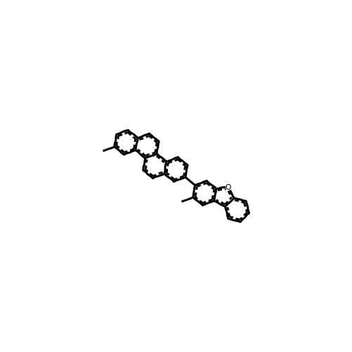 Cc1ccc2ccc3c4ccc(-c5cc6oc7ccccc7c6cc5C)cc4ccc3c2c1